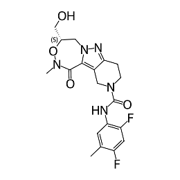 Cc1cc(NC(=O)N2CCc3nn4c(c3C2)C(=O)N(C)O[C@H](CO)C4)c(F)cc1F